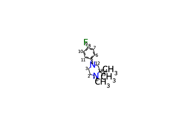 CN1CCN(c2ccc(F)cc2)CC1(C)C